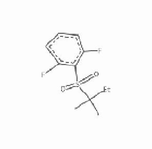 CCC(C)(C)S(=O)(=O)c1c(F)cccc1F